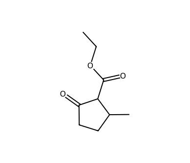 CCOC(=O)C1C(=O)CCC1C